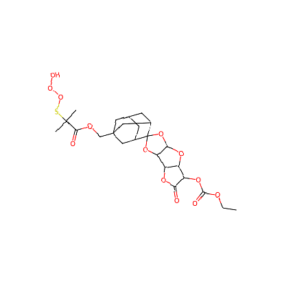 CCOC(=O)OC1C(=O)OC2C3OC4(OC3OC12)C1CC2CC4CC(COC(=O)C(C)(C)SOOO)(C2)C1